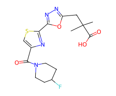 CC(C)(Cc1nnc(-c2nc(C(=O)N3CCC(F)CC3)cs2)o1)C(=O)O